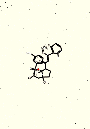 C=C(/C=C(\N=N/C)c1c(F)cccc1F)C1CCC(C)(CN(CC)S(=O)(=O)c2cccc(C#N)c2)C1(C)C